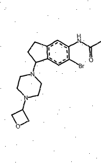 CC(=O)Nc1cc2c(cc1Br)C(N1CCN(C3COC3)CC1)CC2